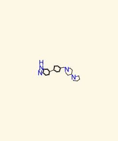 c1nc2ccc(-c3ccc(CN4CCC(N5CCCC5)CC4)cc3)cc2[nH]1